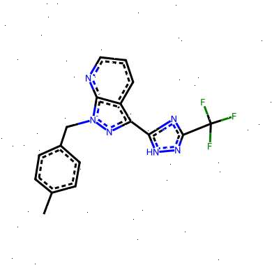 Cc1ccc(Cn2nc(-c3nc(C(F)(F)F)n[nH]3)c3cccnc32)cc1